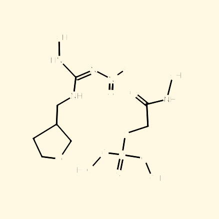 CN/C(=N/[N+](=O)[O-])NCC1CCOC1.CNC(=O)CSP(=S)(OC)OC